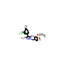 CNS(=O)(=O)c1ccc(Cn2nc(C)c(-c3ccc(C#N)c(Cl)c3)c2C)cc1